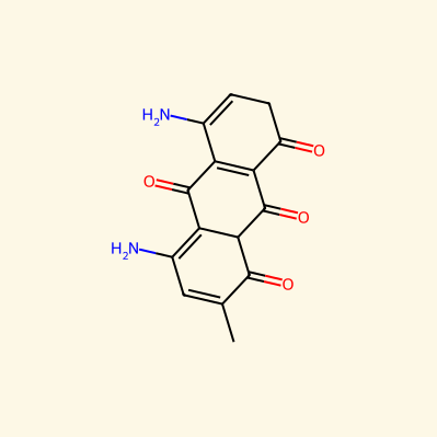 CC1=CC(N)=C2C(=O)C3=C(C(=O)CC=C3N)C(=O)C2C1=O